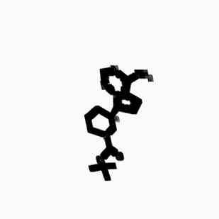 CC(C)(C)OC(=O)N1CCC[C@@H](c2ccc3c(N)ncnn23)C1